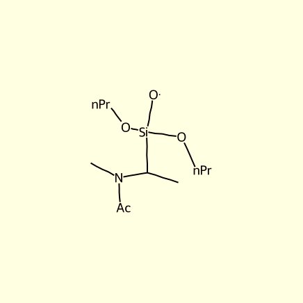 CCCO[Si]([O])(OCCC)C(C)N(C)C(C)=O